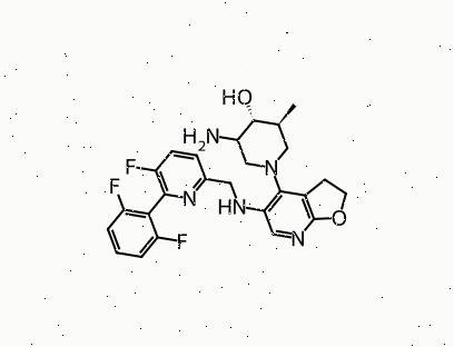 C[C@H]1CN(c2c(NCc3ccc(F)c(-c4c(F)cccc4F)n3)cnc3c2CCO3)CC(N)[C@@H]1O